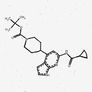 CC(C)(C)OC(=O)N1CCC(c2cc(NC(=O)C3CC3)nc3[nH]ccc23)CC1